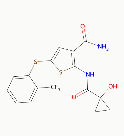 NC(=O)c1cc(Sc2ccccc2C(F)(F)F)sc1NC(=O)C1(O)CC1